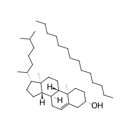 CC(C)CCCC(C)[C@H]1CC[C@H]2[C@@H]3CC=C4C[C@@H](O)CC[C@]4(C)[C@H]3CC[C@]12C.CCCCCCCCCCCCCC